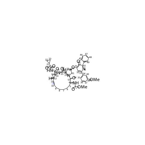 COC(=O)N[C@H]1CCCCC/C=C\[C@@H]2C[C@@]2(C(=O)NS(=O)(=O)C2CC2)NC(=O)[C@@H]2C[C@@H](Oc3cc(-c4cccc(OC)c4)nc4c3oc3ccccc34)CN2C1=O